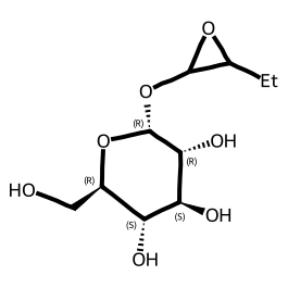 CCC1OC1O[C@H]1O[C@H](CO)[C@@H](O)[C@H](O)[C@H]1O